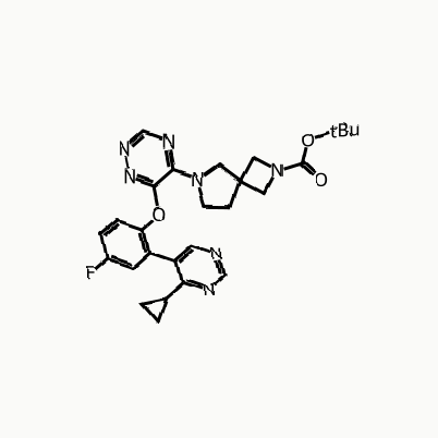 CC(C)(C)OC(=O)N1CC2(CCN(c3ncnnc3Oc3ccc(F)cc3-c3cncnc3C3CC3)C2)C1